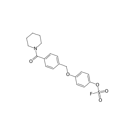 O=C(c1ccc(COc2ccc(OS(=O)(=O)F)cc2)cc1)N1CCCCC1